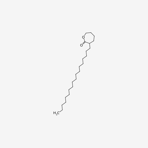 CCCCCCCCCCCCCCCCCCC1CCCCOC1=O